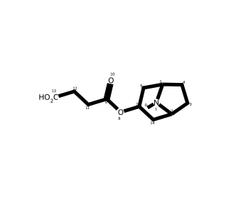 CN1C2CCC1CC(OC(=O)CCC(=O)O)C2